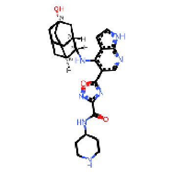 O=C(NC1CCNCC1)c1noc(-c2cnc3[nH]ccc3c2N[C@H]2[C@@H]3CC4C[C@H]2C[C@@](O)(C4)C3)n1